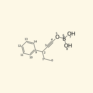 CCC(C#COB(O)O)c1ccccc1